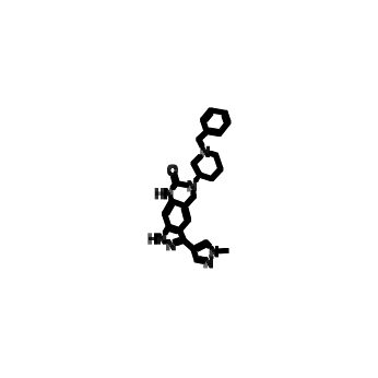 Cn1cc(-c2n[nH]c3cc4c(cc23)CN([C@@H]2CCCN(Cc3ccccc3)C2)C(=O)N4)cn1